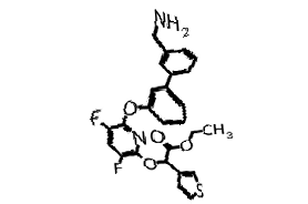 CCOC(=O)C(Oc1nc(Oc2cccc(-c3cccc(CN)c3)c2)c(F)cc1F)c1ccsc1